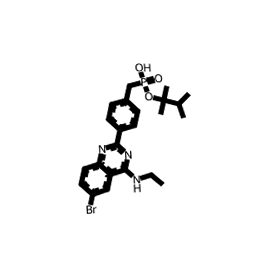 CCNc1nc(-c2ccc(CP(=O)(O)OC(C)(C)C(C)C)cc2)nc2ccc(Br)cc12